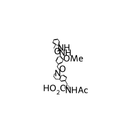 COc1cc(CC(=O)N2CCCc3cc(C[C@H](NC(C)=O)C(=O)O)ccc32)ccc1NC(=O)Nc1ccccc1C